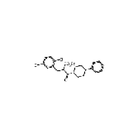 CCOC(=O)C(Cc1cc(Cl)ccc1Cl)C(=O)[C@H]1CC[C@H](c2ccccc2)CC1